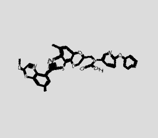 COc1cnc2c(-c3nc4c(C)cc5c(c4s3)OCC(CN(C(=O)O)c3ccc(Oc4ccccc4)nc3)O5)cc(C)cc2n1